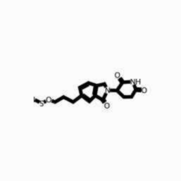 O=C1CCC(N2Cc3ccc(CCCOSI)cc3C2=O)C(=O)N1